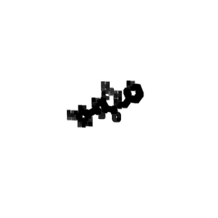 Cc1nc(-c2nn[nH]n2)sc1C(=O)NCc1cccnc1